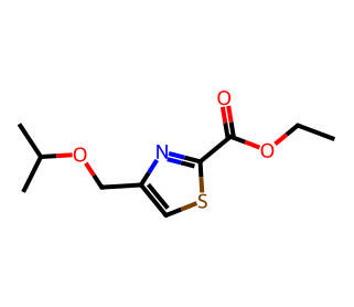 CCOC(=O)c1nc(COC(C)C)cs1